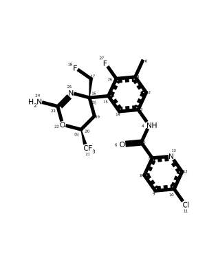 Cc1cc(NC(=O)c2ccc(Cl)cn2)cc([C@]2(CF)C[C@@H](C(F)(F)F)OC(N)=N2)c1F